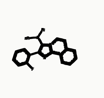 CCCN(CC)c1c(-c2ccccc2F)nc2c3ccccc3ccn12